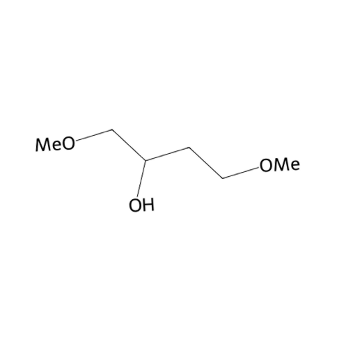 COCCC(O)COC